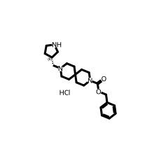 Cl.O=C(OCc1ccccc1)N1CCC2(CCN(C[C@@H]3CCNC3)CC2)CC1